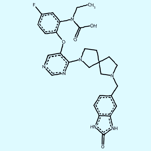 CCN(C(=O)O)c1cc(F)ccc1Oc1cncnc1N1CCC2(CCN(Cc3ccc4[nH]c(=O)[nH]c4c3)C2)C1